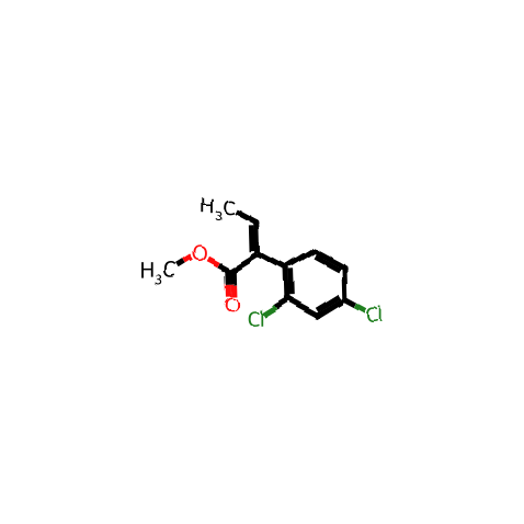 CC=C(C(=O)OC)c1ccc(Cl)cc1Cl